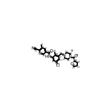 Cc1cc(C(=O)Nc2cc(Cl)cc(CN3CCN(C(=O)[C@H]4CCCO4)[C@@H](C)C3)c2C)cnc1C#N